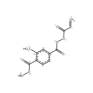 C=CC(=O)OOC(=O)c1ccc(C(=O)OCCCC)c(C(=O)O)c1